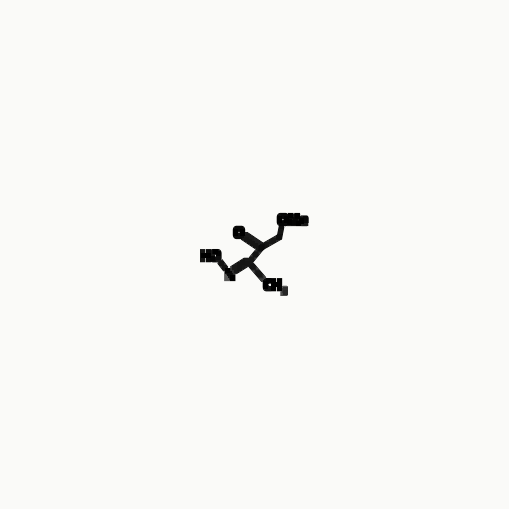 COCC(=O)/C(C)=N\O